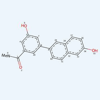 CNC(=O)c1cc(O)cc(-c2ccc3cc(O)ccc3c2)c1